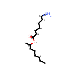 CCCCCCC(C)OC(=O)CCCCCCN